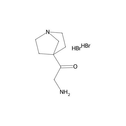 Br.Br.NCC(=O)C12CCN(CC1)C2